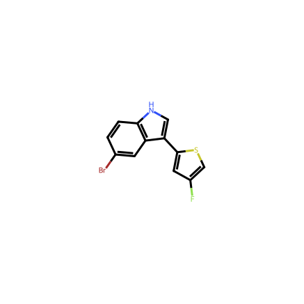 Fc1csc(-c2c[nH]c3ccc(Br)cc23)c1